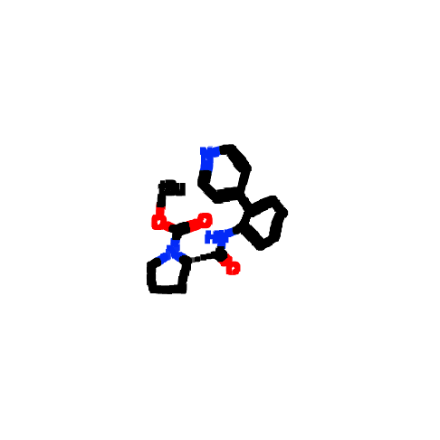 CC(C)(C)OC(=O)N1CCC[C@H]1C(=O)Nc1ccccc1-c1ccncc1